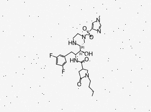 CCCCN1CC(C(=O)NC(Cc2cc(F)cc(F)c2)[C@H](O)[C@H]2CN(S(=O)(=O)c3cn(C)cn3)CCN2)CC1=O